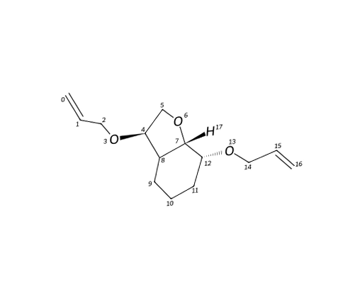 C=CCO[C@H]1CO[C@H]2C1CCC[C@H]2OCC=C